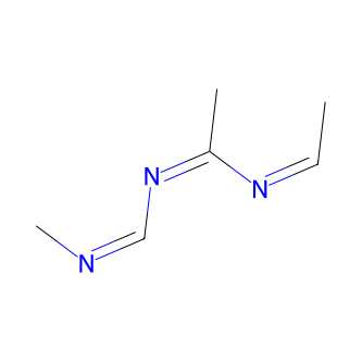 C\C=N/C(C)=N\C=N/C